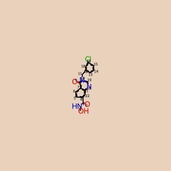 O=C(NO)c1ccc2c(=O)n(Cc3cccc(Cl)c3)cnc2c1